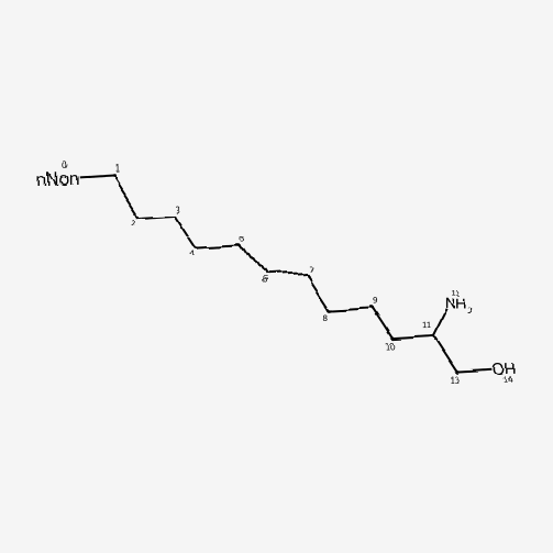 CCCCCCCCCCCCCCCCCCCC(N)CO